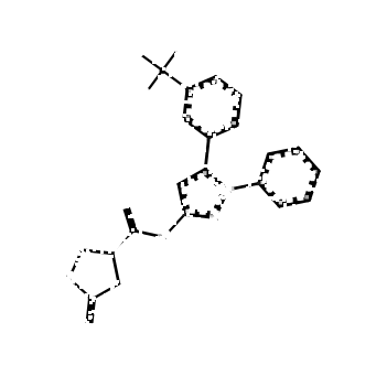 O=C1C[C@H](C(=O)Nc2cc(-c3cccc(C(F)(F)F)c3)n(-c3ccccc3)n2)CN1